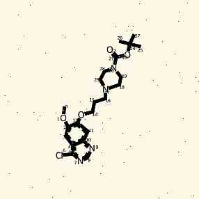 COc1cc2c(Cl)ncnc2cc1OCCCN1CCN(C(=O)OC(C)(C)C)CC1